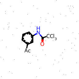 CC(=O)c1cccc(NC(=O)C(Cl)(Cl)Cl)c1